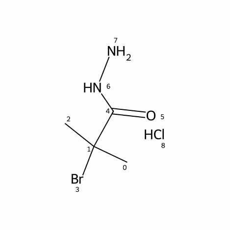 CC(C)(Br)C(=O)NN.Cl